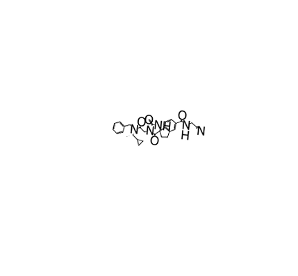 C[C@@H](C1CC1)N(Cc1ccccc1)C(=O)CN1C(=O)NC2(CCc3cc(C(=O)NCC#N)ccc32)C1=O